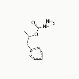 CC(Cc1ccccc1)OC(=O)NN